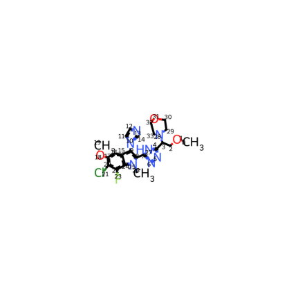 COCC(c1nnc(-c2c(-n3ccnc3)c3cc(OC)c(Cl)c(F)c3n2C)[nH]1)N1CCOCC1